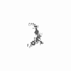 COCC(=O)NCc1ccc(C(F)(F)F)c(Nc2nc3cc(C(=O)N[C@H]4CC[C@H](C(F)(F)F)CC4)c(OCC(F)F)nc3n2C)c1